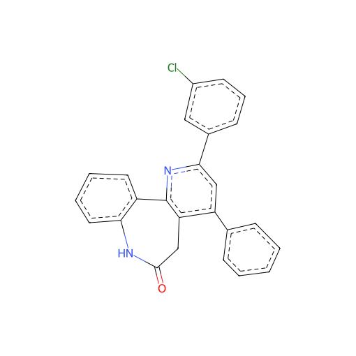 O=C1Cc2c(-c3ccccc3)cc(-c3cccc(Cl)c3)nc2-c2ccccc2N1